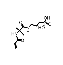 C=CC(=O)NC(C)(C)C(=O)NCCCP(=O)(O)O